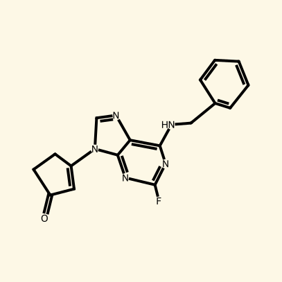 O=C1C=C(n2cnc3c(NCc4ccccc4)nc(F)nc32)CC1